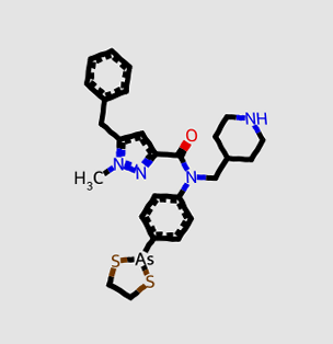 Cn1nc(C(=O)N(CC2CCNCC2)c2ccc([As]3SCCS3)cc2)cc1Cc1ccccc1